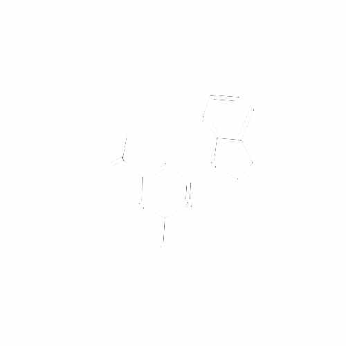 O=C(O)c1cc(N2CCc3ccccc32)nc(Cl)n1